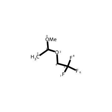 COC(C)OCC(F)(F)F